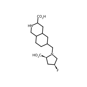 O=C(O)C1CC2CC(CN3C[C@@H](F)C[C@H]3C(=O)O)CCC2CN1